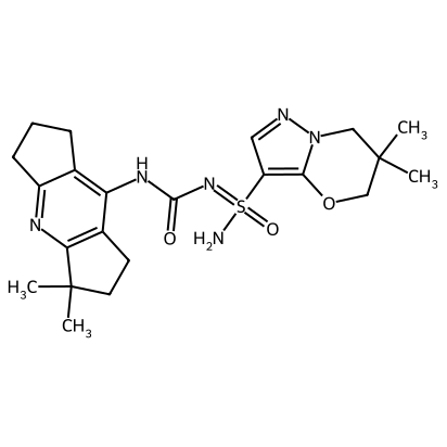 CC1(C)COc2c(S(N)(=O)=NC(=O)Nc3c4c(nc5c3CCC5(C)C)CCC4)cnn2C1